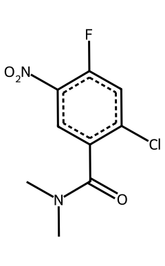 CN(C)C(=O)c1cc([N+](=O)[O-])c(F)cc1Cl